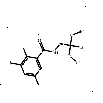 CCOC(CC)(CNC(=O)c1cc(I)cc(I)c1I)OCC